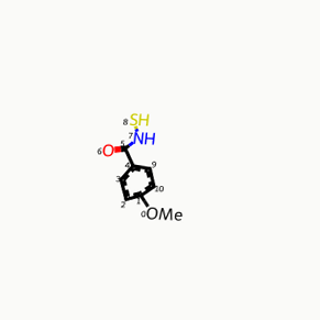 COc1ccc(C(=O)NS)cc1